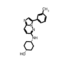 Cc1cccc(-c2cnc3ccc(N[C@H]4CC[C@@H](O)CC4)nn23)c1